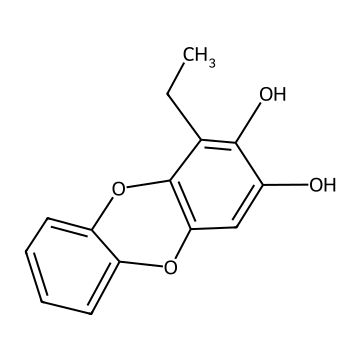 CCc1c(O)c(O)cc2c1Oc1ccccc1O2